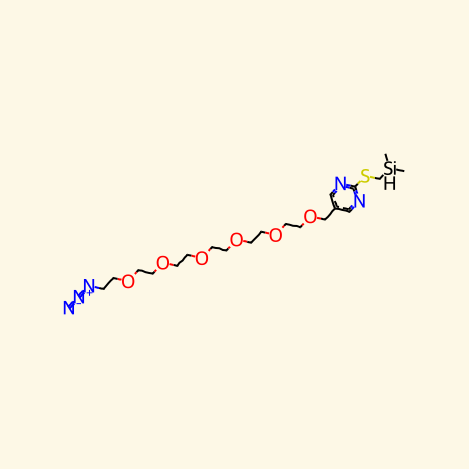 C[SiH](C)CSc1ncc(COCCOCCOCCOCCOCCOCCN=[N+]=[N-])cn1